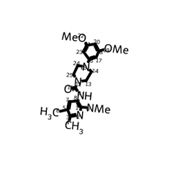 CNc1nc(C)c(C)cc1NC(=O)N1CCN(c2cc(OC)cc(OC)c2)CC1